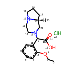 CCOc1ccccc1C(C(=O)O)N1CCN2CCC[C@@H]2C1.Cl